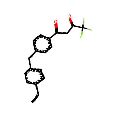 C=Cc1ccc(Cc2ccc(C(=O)CC(=O)C(F)(F)F)cc2)cc1